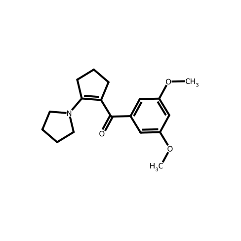 COc1cc(OC)cc(C(=O)C2=C(N3CCCC3)CCC2)c1